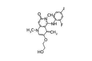 C=C1C(OCCO)=CN(C)c2cc(=O)n(C)c(Nc3ccc(I)cc3F)c21